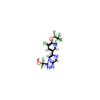 COC(F)(F)c1nnc2cnc(-c3cnc(O[C@@H](C)C(F)(F)F)c(F)c3)cn12